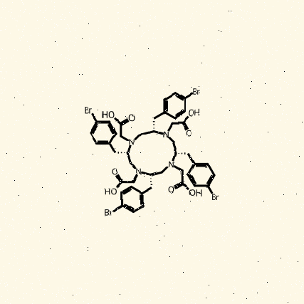 O=C(O)CN1C[C@H](Cc2ccc(Br)cc2)N(CC(=O)O)C[C@H](Cc2ccc(Br)cc2)N(CC(=O)O)C[C@H](Cc2ccc(Br)cc2)N(CC(=O)O)C[C@@H]1Cc1ccc(Br)cc1